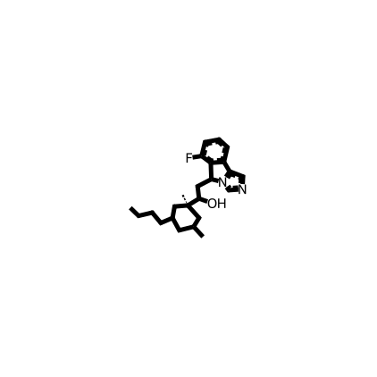 CCCCC1CC(C)C[C@](C)(C(O)CC2c3c(F)cccc3-c3cncn32)C1